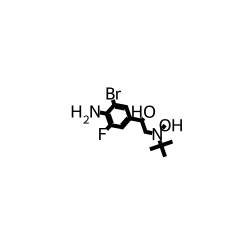 CC(C)(C)N(O)CC(O)c1cc(F)c(N)c(Br)c1